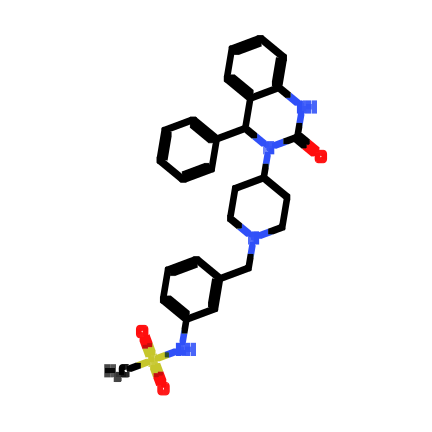 CS(=O)(=O)Nc1cccc(CN2CCC(N3C(=O)Nc4ccccc4C3c3ccccc3)CC2)c1